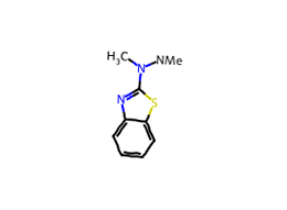 CNN(C)c1nc2ccccc2s1